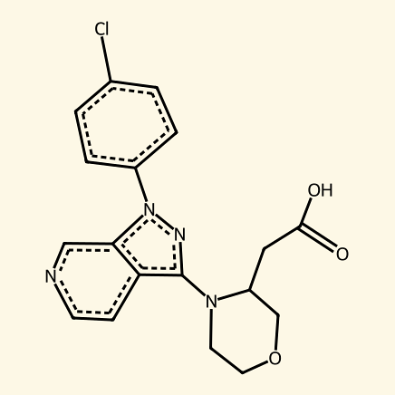 O=C(O)CC1COCCN1c1nn(-c2ccc(Cl)cc2)c2cnccc12